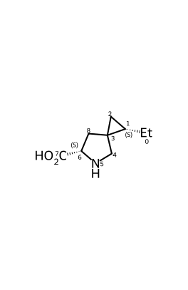 CC[C@H]1CC12CN[C@H](C(=O)O)C2